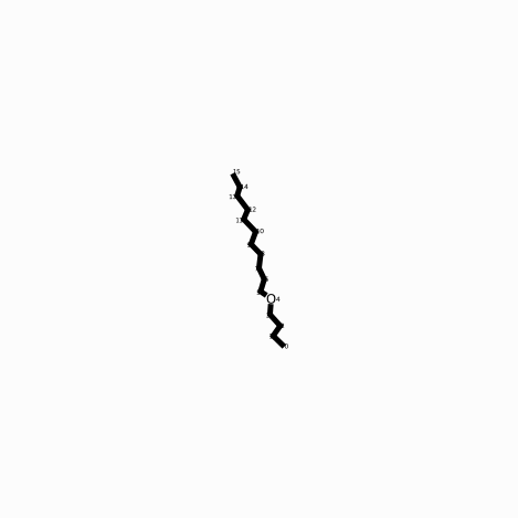 C[CH]CCOCCCCCCCCCCC